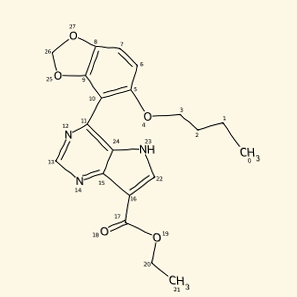 CCCCOc1ccc2c(c1-c1ncnc3c(C(=O)OCC)c[nH]c13)OCO2